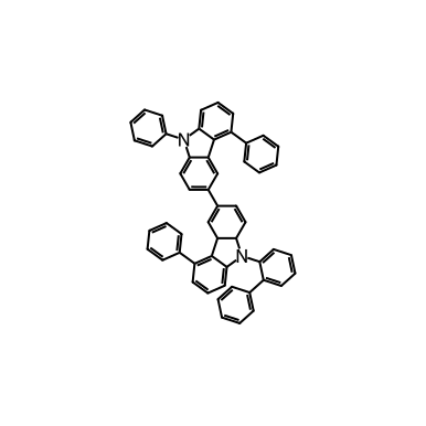 C1=CC2C(C=C1c1ccc3c(c1)c1c(-c4ccccc4)cccc1n3-c1ccccc1)c1c(-c3ccccc3)cccc1N2c1ccccc1-c1ccccc1